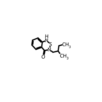 CCC(C)CN1SNc2ccccc2C1=O